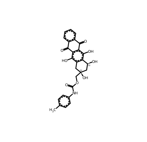 Cc1ccc(NC(=O)OC[C@]2(O)Cc3c(O)c4c(c(O)c3[C@@H](O)C2)C(=O)c2ccccc2C4=O)cc1